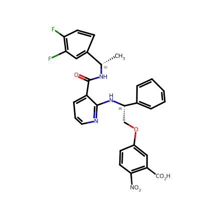 C[C@H](NC(=O)c1cccnc1N[C@@H](COc1ccc([N+](=O)[O-])c(C(=O)O)c1)c1ccccc1)c1ccc(F)c(F)c1